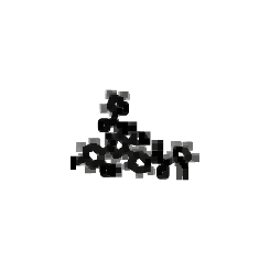 N#Cc1c(-c2cccc(NC(=O)[C@H]3CCCN3)c2)cc(-c2ccc(F)cc2O)nc1NC(=O)c1ccco1